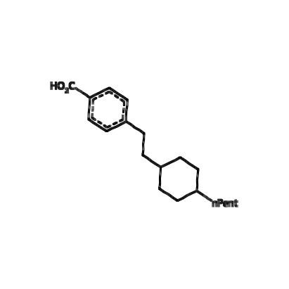 CCCCCC1CCC(CCc2ccc(C(=O)O)cc2)CC1